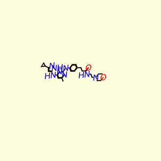 Cc1cc(Nc2cc(C3CC3)n[nH]2)nc(Nc2ccc(CCC(=O)NCCN3CCOCC3)cc2)n1